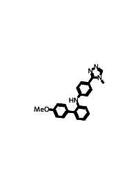 COc1ccc(-c2ccccc2Nc2ccc(-c3nncn3C)cc2)cc1